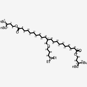 CCCCC(CCCC)CCOC(=O)CCCCCCCCCC(CCCCCCCCCC(=O)OCCC(CCCC)CCCC)COCCCN(CC)CC